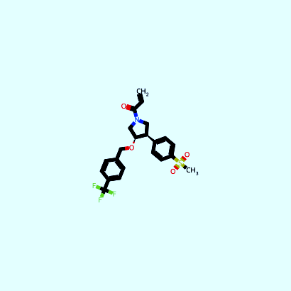 C=CC(=O)N1C[C@@H](OCc2ccc(C(F)(F)F)cc2)[C@H](c2ccc(S(C)(=O)=O)cc2)C1